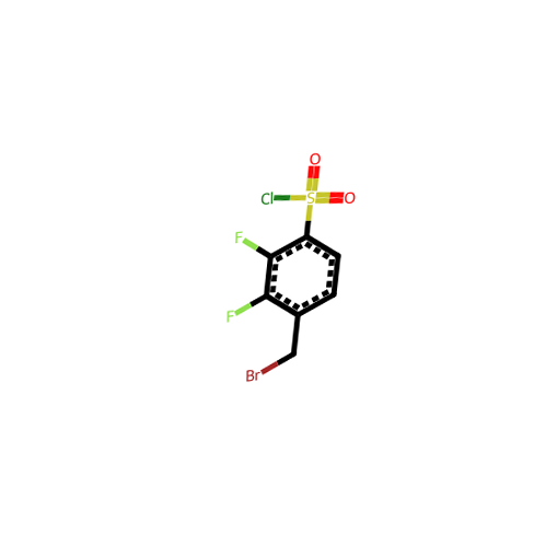 O=S(=O)(Cl)c1ccc(CBr)c(F)c1F